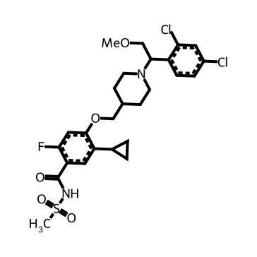 COCC(c1ccc(Cl)cc1Cl)N1CCC(COc2cc(F)c(C(=O)NS(C)(=O)=O)cc2C2CC2)CC1